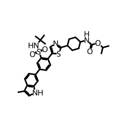 Cc1c[nH]c2cc(-c3ccc(-c4cnc(C5CCC(NC(=O)OC(C)C)CC5)s4)c(S(=O)(=O)NC(C)(C)C)c3)ccc12